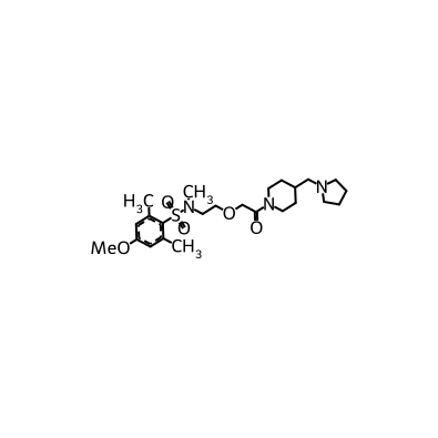 COc1cc(C)c(S(=O)(=O)N(C)CCOCC(=O)N2CCC(CN3CCCC3)CC2)c(C)c1